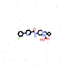 O=C(O)NC1(CN2CCC(NC(=O)c3ccc(-c4cccc(F)c4)nc3)CC2)CCC1